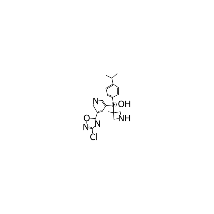 CC(C)c1ccc([C@](O)(c2cncc(-c3nc(Cl)no3)c2)C2(C)CNC2)cc1